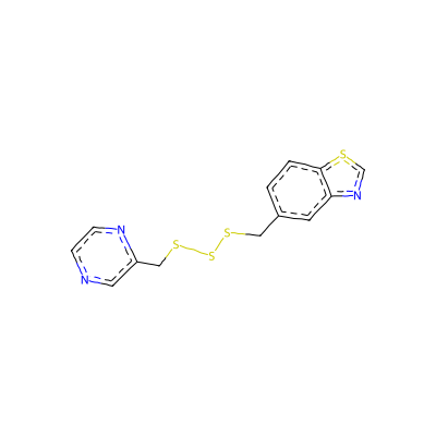 c1cnc(CSSSCc2ccc3scnc3c2)cn1